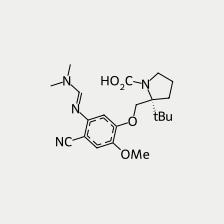 COc1cc(C#N)c(N=CN(C)C)cc1OC[C@]1(C(C)(C)C)CCCN1C(=O)O